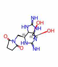 N=C1NC2[C@H](CN3C(=O)CCC3=O)NC(=N)N3C[C@H](O)[C@@H](O)C23N1